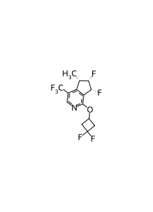 C[C@H]1c2c(C(F)(F)F)cnc(OC3CC(F)(F)C3)c2[C@@H](F)[C@H]1F